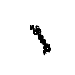 COC(=O)N1CC2(C1)CN(c1cc(F)ccn1)C2